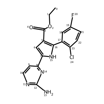 CCOC(=O)c1cc(-c2ccnc(N)n2)[nH]c1-c1cc(F)ccc1Cl